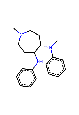 CN1CCC(Nc2ccccc2)[C@@H](N(C)c2ccccc2)CC1